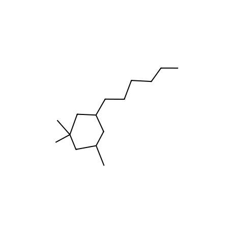 CCCCCCC1CC(C)CC(C)(C)C1